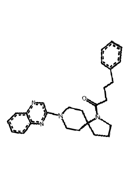 O=C(CCCc1ccccc1)N1CCCC12CCN(c1cnc3ccccc3n1)CC2